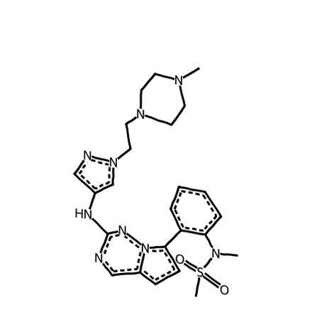 CN1CCN(CCn2cc(Nc3ncc4ccc(-c5ccccc5N(C)S(C)(=O)=O)n4n3)cn2)CC1